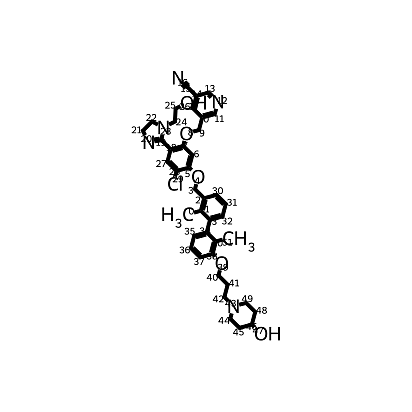 Cc1c(COc2cc(OCc3cncc(C#N)c3)c(C3=NCCN3CCO)cc2Cl)cccc1-c1cccc(OCCCN2CCC(O)CC2)c1C